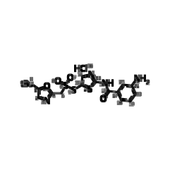 CC(C)(C)c1cnc(CS(=O)(=O)Sc2cnc(NC(=O)c3cccc(N)c3)s2)o1.Cl